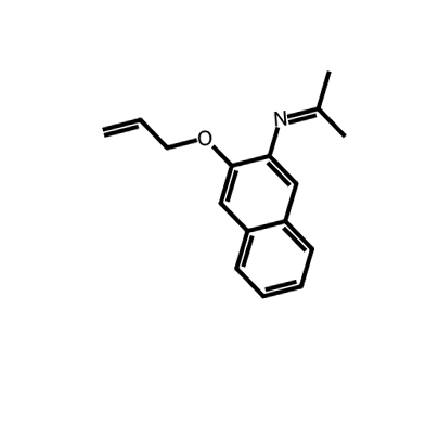 C=CCOc1cc2ccccc2cc1N=C(C)C